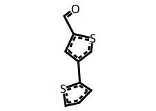 O=Cc1cc(-c2cccs2)cs1